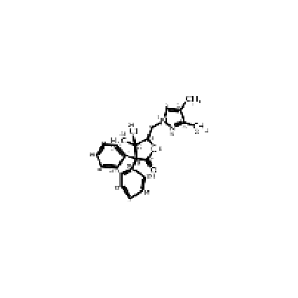 Cc1cn(CC2OC(=O)C(c3ccccc3)(c3ccccc3)C2(C)Cl)nc1C